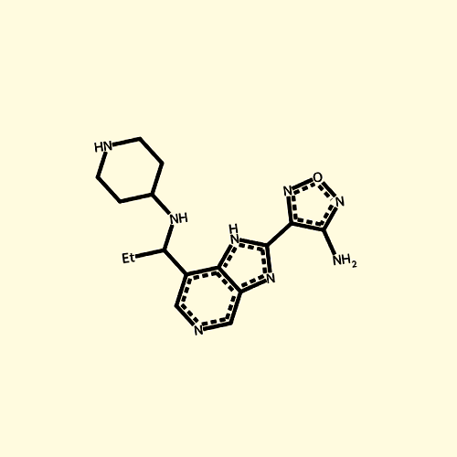 CCC(NC1CCNCC1)c1cncc2nc(-c3nonc3N)[nH]c12